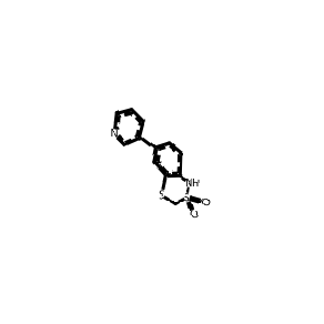 O=S1(=O)CSc2cc(-c3cccnc3)ccc2N1